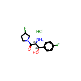 Cl.N[C@H](C(=O)N1CCC(F)C1)[C@H](O)c1ccc(F)cc1